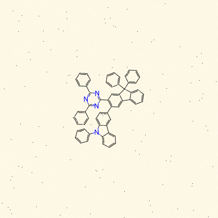 c1ccc(-c2nc(-c3ccccc3)nc(-c3cc4c(cc3-c3ccc5c(c3)c3ccccc3n5-c3ccccc3)-c3ccccc3C4(c3ccccc3)c3ccccc3)n2)cc1